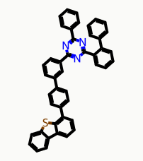 c1ccc(-c2nc(-c3cccc(-c4ccc(-c5cccc6c5sc5ccccc56)cc4)c3)nc(-c3ccccc3-c3ccccc3)n2)cc1